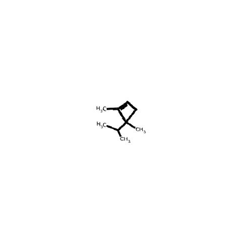 CC1=CCC1(C)C(C)C